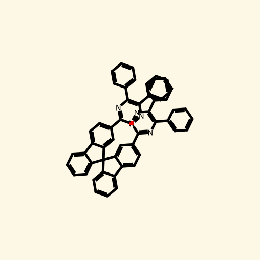 c1ccc(-c2nnc(-c3ccc4c(c3)C3(c5ccccc5-4)c4ccccc4-c4ccc(-c5nnc(-c6ccccc6)c(-c6ccccc6)n5)cc43)nc2-c2ccccc2)cc1